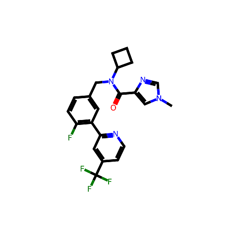 Cn1cnc(C(=O)N(Cc2ccc(F)c(-c3cc(C(F)(F)F)ccn3)c2)C2CCC2)c1